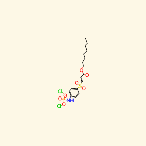 CCCCCCCCOC(=O)C=CS(=O)(=O)c1ccc(NP(=O)(OCl)OCl)cc1